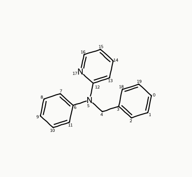 c1ccc(CN(c2ccccc2)c2ccccn2)cc1